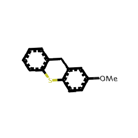 COc1ccc2c(c1)Cc1ccccc1S2